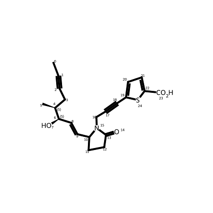 CC#CC[C@H](C)[C@H](O)C=CC1CCC(=O)N1CC#Cc1ccc(C(=O)O)s1